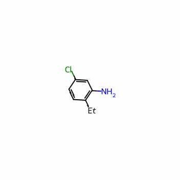 CCc1ccc(Cl)cc1N